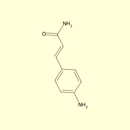 NC(=O)C=Cc1ccc(N)cc1